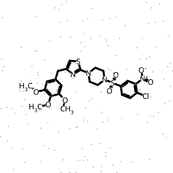 COc1cc(Cc2csc(N3CCN(S(=O)(=O)c4ccc(Cl)c([N+](=O)[O-])c4)CC3)n2)cc(OC)c1OC